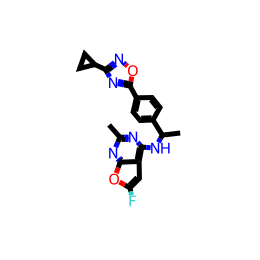 Cc1nc(NC(C)c2ccc(-c3nc(C4CC4)no3)cc2)c2cc(F)oc2n1